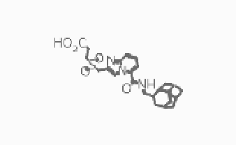 O=C(O)CCS(=O)(=O)Cc1cn2c(C(=O)NCC34CC5CC6CC(C3)C6(C5)C4)cccc2n1